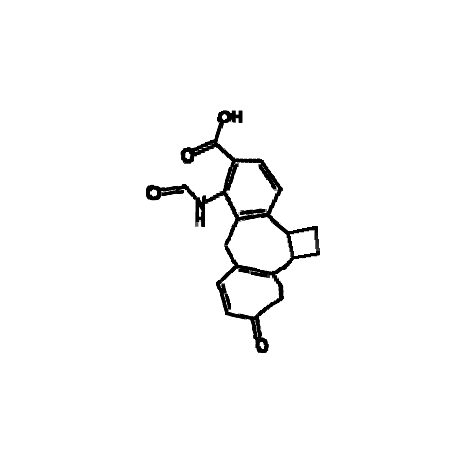 O=CNc1c(C(=O)O)ccc2c1CC1=C(CC(=O)C=C1)C1CCC21